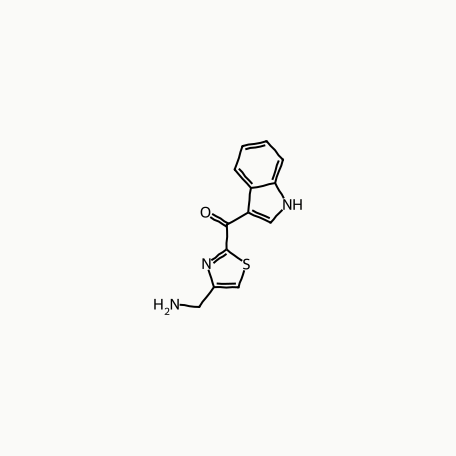 NCc1csc(C(=O)c2c[nH]c3ccccc23)n1